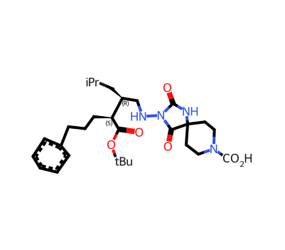 CC(C)C[C@@H](CNN1C(=O)NC2(CCN(C(=O)O)CC2)C1=O)[C@H](CCCc1ccccc1)C(=O)OC(C)(C)C